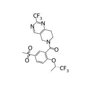 C[C@H](Oc1ccc(S(C)(=O)=O)cc1C(=O)N1CCc2nc(C(F)(F)F)ncc2C1)C(F)(F)F